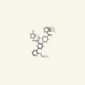 CCOc1ncccc1-c1ccc(N2CCN(C(=O)C34CCC(CC3)C4(C)C)C[C@H]2CC)c(C(=O)N[C@@H]2CCNC2)n1